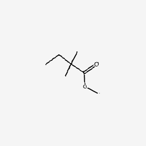 [CH2]OC(=O)C(C)(C)CC